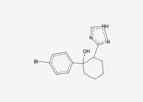 OC1(c2ccc(Br)cc2)CCCCC1c1nc[nH]n1